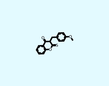 COc1ccc(CC2C(=O)c3ccccc3OC2=S)cc1